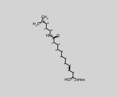 CCCCCCC(O)C/C=C/CCCCCCCC(=O)NCCCN(C)C